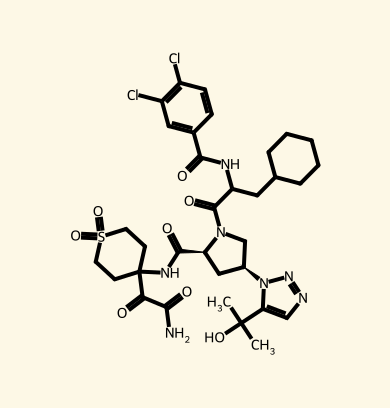 CC(C)(O)c1cnnn1[C@H]1C[C@@H](C(=O)NC2(C(=O)C(N)=O)CCS(=O)(=O)CC2)N(C(=O)C(CC2CCCCC2)NC(=O)c2ccc(Cl)c(Cl)c2)C1